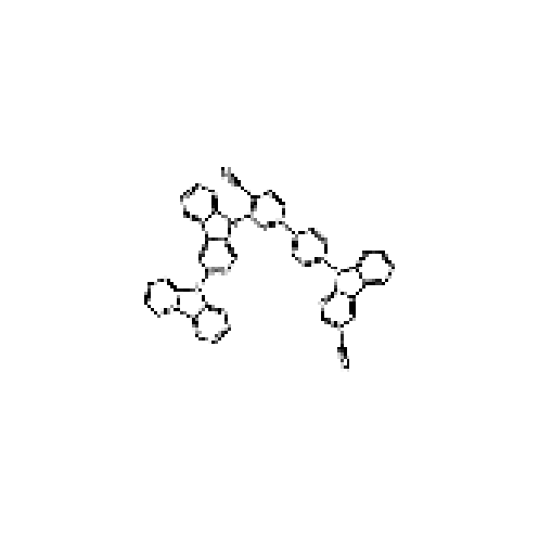 N#Cc1ccc2c(c1)c1ccccc1n2-c1ccc(-c2ccc(C#N)c(-n3c4ccccc4c4cc(-n5c6ccccc6c6ccccc65)ccc43)c2)cc1